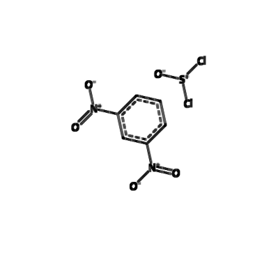 O=[N+]([O-])c1cccc([N+](=O)[O-])c1.[O-][S+](Cl)Cl